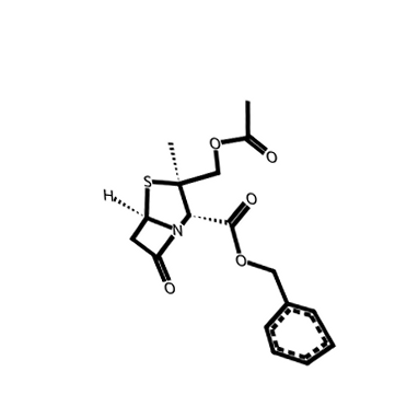 CC(=O)OC[C@]1(C)S[C@@H]2CC(=O)N2[C@H]1C(=O)OCc1ccccc1